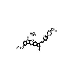 COc1ccc2c(c1)/C(=C/c1ccc3c(/C=C/c4ccc(N5CCN(C)CC5)nc4)n[nH]c3c1)C(=O)N2.Cl.Cl